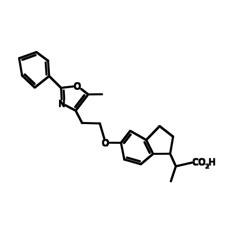 Cc1oc(-c2ccccc2)nc1CCOc1ccc2c(c1)CCC2C(C)C(=O)O